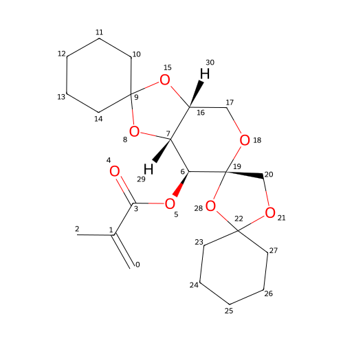 C=C(C)C(=O)O[C@H]1[C@@H]2OC3(CCCCC3)O[C@@H]2CO[C@@]12COC1(CCCCC1)O2